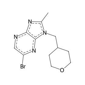 Cc1nc2ncc(Br)nc2n1CC1CCOCC1